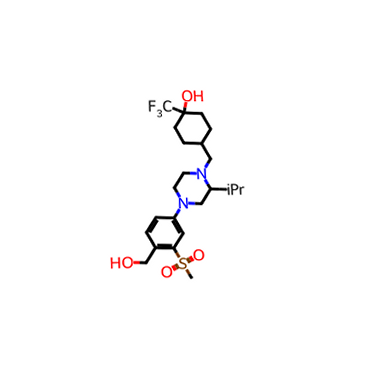 CC(C)C1CN(c2ccc(CO)c(S(C)(=O)=O)c2)CCN1CC1CCC(O)(C(F)(F)F)CC1